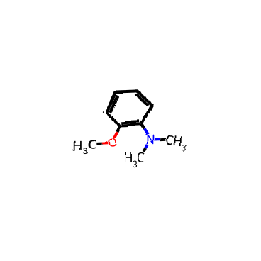 COc1[c]cccc1N(C)C